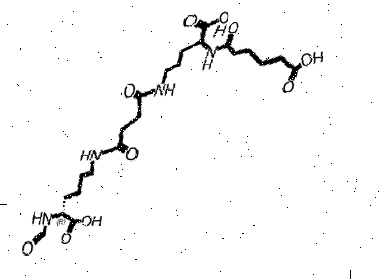 O=CN[C@H](CCCCNC(=O)CCC(=O)NCCCC(NC(=O)CCCCC(=O)O)C(=O)O)C(=O)O